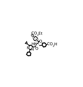 CCOC(=O)ON1CCN(C(=O)[C@H](Cc2ccc(C(=O)O)cc2)NC(=O)c2cc(C3CC3)nc(-c3ccccc3)n2)CC1